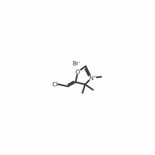 C[N+]1=COC(=CCl)C1(C)C.[Br-]